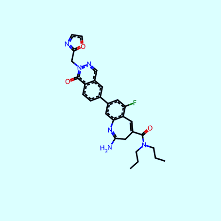 CCCN(CCC)C(=O)C1=Cc2c(F)cc(-c3ccc4c(=O)n(Cc5ncco5)ncc4c3)cc2N=C(N)C1